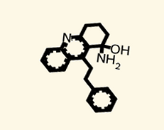 NC1(O)CCCc2nc3ccccc3c(CCc3ccccc3)c21